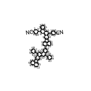 N#Cc1ccc(-c2cc3c4cc5c(cc4c(-c4ccc(C#N)cc4)cc3c3ccccc23)-c2cccc3c(-c4ccc6c(-c7ccccc7)cc7c8cc9c(cc8c(-c8ccccc8)cc7c6c4)-c4cccc6cccc-9c46)ccc-5c23)cc1